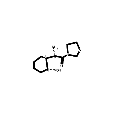 N[C@H](C(=O)N1CCSC1)[C@@H]1CCCC[C@H]1O